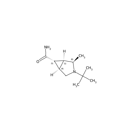 C[C@@H]1[C@H]2[C@@H](CN1C(C)(C)C)[C@@H]2C(N)=O